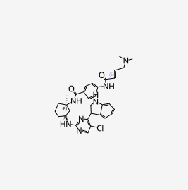 CN(C)C/C=C/C(=O)Nc1ccc(C(=O)N[C@]2(C)CCC[C@H](Nc3ncc(Cl)c(C4CNc5ccccc54)n3)C2)cc1